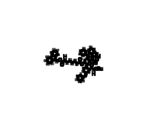 CC(C)(C)NC(=O)[C@@H]1CN(Cc2cccnc2)CCN1C[C@H](C[C@@H](Cc1ccccc1)C(=O)N1[C@H]2c3ccccc3C[C@H]2OC1(C)C)OC(=O)CCCCCNC(=O)OCC1c2ccccc2-c2ccccc21